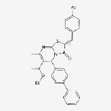 C=C(OCC)C1=C(C)N=c2s/c(=C\c3ccc(C(C)=O)cc3)c(=O)n2C1c1ccc(-c2ccccc2)cc1